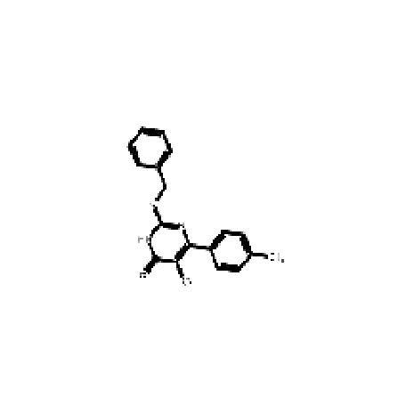 Cc1ccc(-c2nc(OCc3ccccc3)[nH]c(=O)c2C#N)cc1